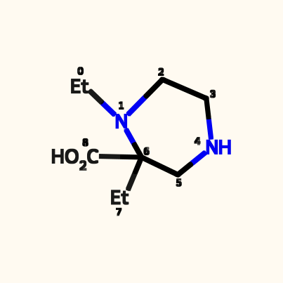 CCN1CCNCC1(CC)C(=O)O